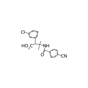 CC(C)(NC(=O)c1ccc(C#N)cc1)C(C(=O)O)c1cccc(Cl)c1